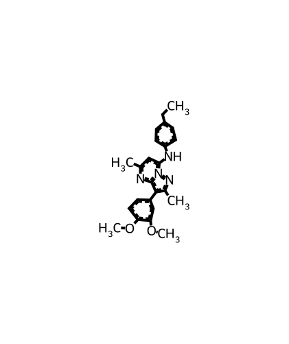 CCc1ccc(Nc2cc(C)nc3c(-c4ccc(OC)c(OC)c4)c(C)nn23)cc1